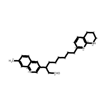 Cc1ccc2cc(C(CC=O)CCCCCCc3ccc4c(n3)NCCC4)cnc2c1